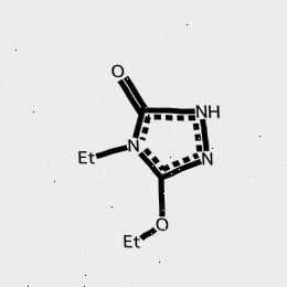 CCOc1n[nH]c(=O)n1CC